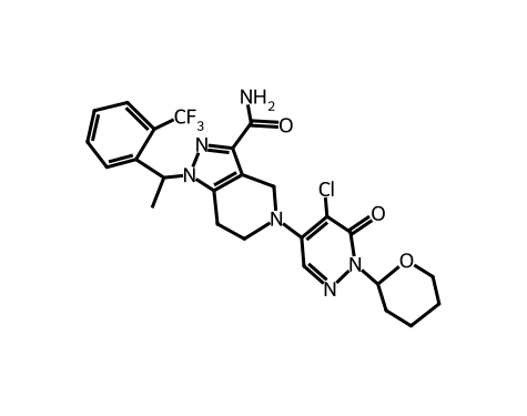 CC(c1ccccc1C(F)(F)F)n1nc(C(N)=O)c2c1CCN(c1cnn(C3CCCCO3)c(=O)c1Cl)C2